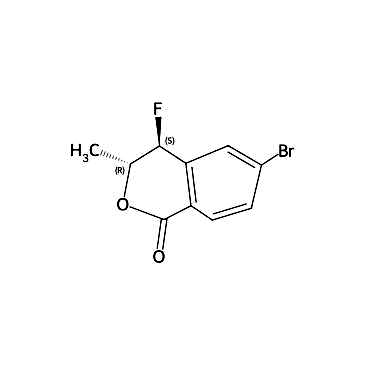 C[C@H]1OC(=O)c2ccc(Br)cc2[C@@H]1F